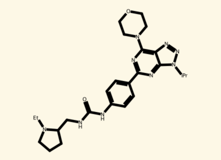 CCN1CCCC1CNC(=O)Nc1ccc(-c2nc(N3CCOCC3)c3nnn(C(C)C)c3n2)cc1